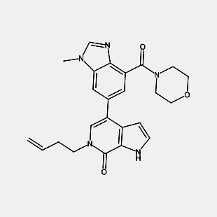 C=CCCn1cc(-c2cc(C(=O)N3CCOCC3)c3ncn(C)c3c2)c2cc[nH]c2c1=O